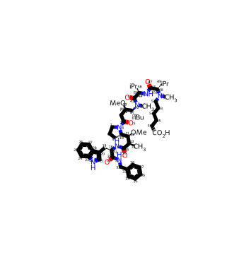 CC[C@H](C)[C@@H]([C@@H](CC(=O)N1CCC[C@H]1[C@H](OC)[C@@H](C)C(=O)N[C@@H](Cc1c[nH]c2ccccc12)C(=O)NCc1ccccc1)OC)N(C)C(=O)[C@@H](NC(=O)[C@H](C(C)C)N(C)CCCCCC(=O)O)C(C)C